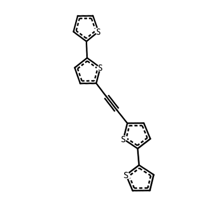 C(#Cc1ccc(-c2cccs2)s1)c1ccc(-c2cccs2)s1